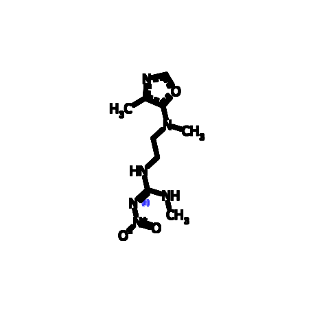 CN/C(=N\[N+](=O)[O-])NCCN(C)c1ocnc1C